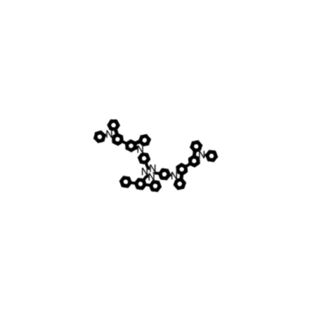 c1ccc(-c2ccc(-c3ccccc3)c(-c3nc(-c4ccc(-n5c6ccccc6c6cc(-c7ccc8c(c7)c7ccccc7n8-c7ccccc7)ccc65)cc4)nc(-c4ccc(-n5c6ccccc6c6cc(-c7ccc8c(c7)c7ccccc7n8-c7ccccc7)ccc65)cc4)n3)c2)cc1